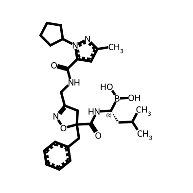 Cc1cc(C(=O)NCC2=NOC(Cc3ccccc3)(C(=O)N[C@@H](CC(C)C)B(O)O)C2)n(C2CCCC2)n1